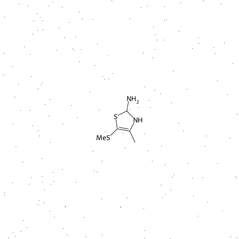 CSC1=C(C)NC(N)S1